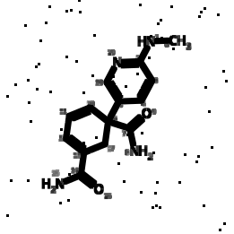 CNc1ccc(C2(C(N)=O)C=CC=C(C(N)=O)C2)cn1